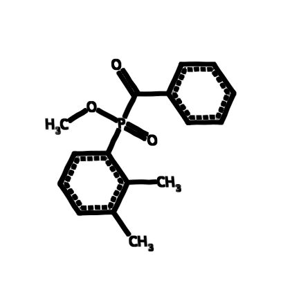 COP(=O)(C(=O)c1ccccc1)c1cccc(C)c1C